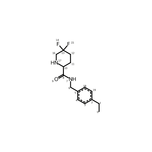 CCc1ccc(CNC(=O)C2CCC(F)(F)CN2)cc1